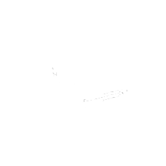 N#C[P]C#N